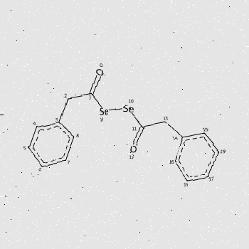 O=C(Cc1ccccc1)[Se][Se]C(=O)Cc1ccccc1